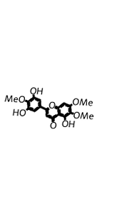 COc1cc2oc(-c3cc(O)c(OC)c(O)c3)cc(=O)c2c(O)c1OC